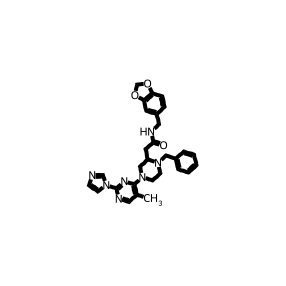 Cc1cnc(-n2ccnc2)nc1N1CCN(Cc2ccccc2)C(CC(=O)NCc2ccc3c(c2)OCO3)C1